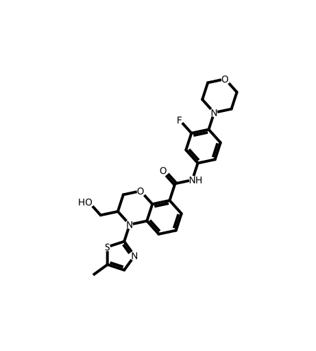 Cc1cnc(N2c3cccc(C(=O)Nc4ccc(N5CCOCC5)c(F)c4)c3OCC2CO)s1